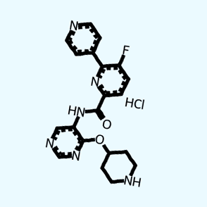 Cl.O=C(Nc1cncnc1OC1CCNCC1)c1ccc(F)c(-c2ccncc2)n1